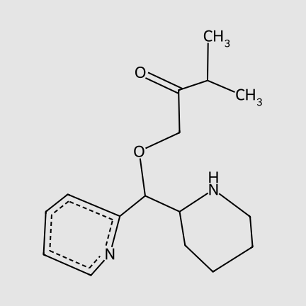 CC(C)C(=O)COC(c1ccccn1)C1CCCCN1